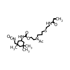 C=CC(=O)NCCSCCCN(CCOC(=O)NC1CC(C)(C)CC(C)(CN=C=O)C1)C(C)=O